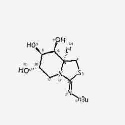 CCCCN=C1SC[C@@H]2[C@H](O)[C@H](O)[C@@H](O)CN12